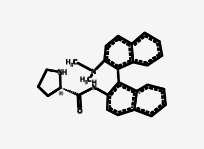 CN(C)c1ccc2ccccc2c1-c1c(NC(=O)[C@@H]2CCCN2)ccc2ccccc12